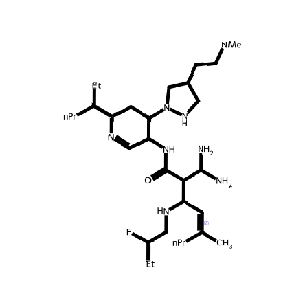 CCC/C(C)=C\C(NCC(F)CC)C(C(=O)NC1C=NC(C(CC)CCC)CC1N1CC(CCNC)CN1)C(N)N